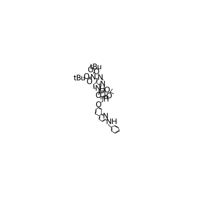 CC(C)(C)OC(=O)N(C(=O)OC(C)(C)C)c1ncnc2c1ccn2[C@@H]1O[C@H](COc2ccc3ccc(NCc4ccccc4)nc3c2)[C@H]2OC(C)(C)O[C@H]21